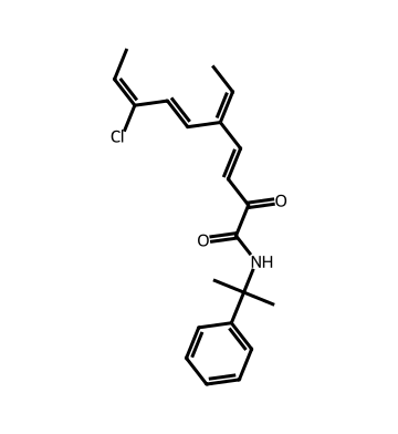 C/C=C(/C=C/C(=O)C(=O)NC(C)(C)c1ccccc1)\C=C\C(Cl)=C/C